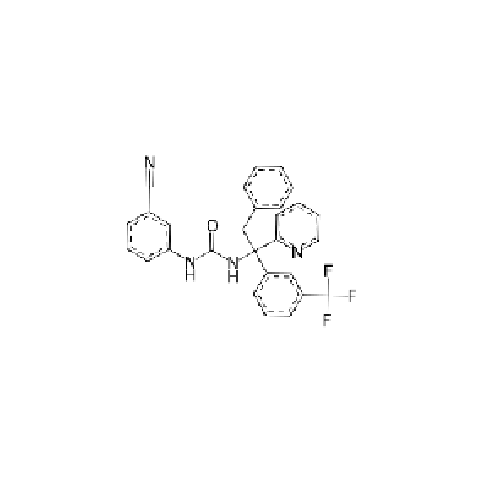 N#Cc1cccc(NC(=O)NC(Cc2ccccc2)(c2cccc(C(F)(F)F)c2)c2ccccn2)c1